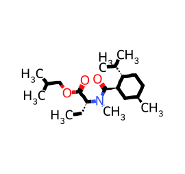 CC[C@H](C(=O)OCC(C)C)N(C)C(=O)[C@@H]1C[C@H](C)CC[C@H]1C(C)C